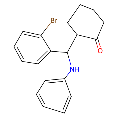 O=C1CCCCC1C(Nc1ccccc1)c1ccccc1Br